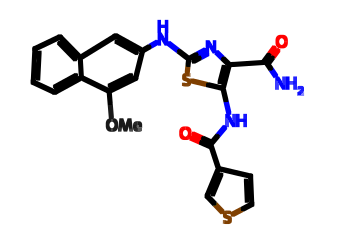 COc1cc(Nc2nc(C(N)=O)c(NC(=O)c3ccsc3)s2)cc2ccccc12